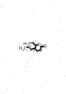 C/C=c1/oc(=O)cc/c1=C/CC